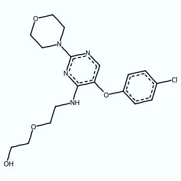 OCCOCCNc1nc(N2CCOCC2)ncc1Oc1ccc(Cl)cc1